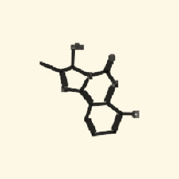 CCCCC1C(C)=Nc2c3cccc(Cl)c3nc(=O)n21